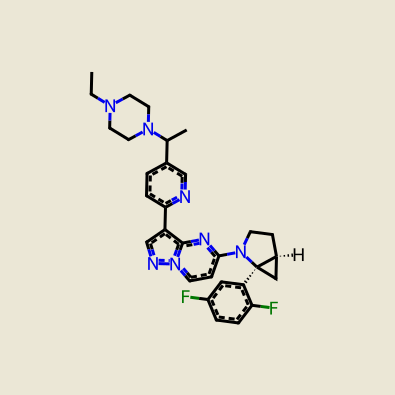 CCN1CCN(C(C)c2ccc(-c3cnn4ccc(N5CC[C@H]6C[C@]65c5cc(F)ccc5F)nc34)nc2)CC1